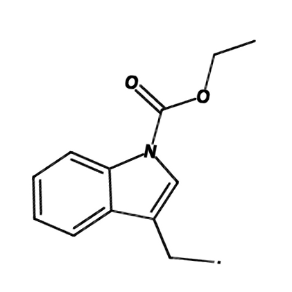 [CH2]Cc1cn(C(=O)OCC)c2ccccc12